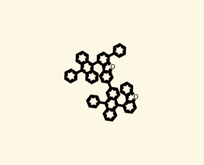 c1ccc(-c2c3ccccc3c(-c3cccc4oc5ccccc5c34)c3ccc(-c4ccc5c(c4)oc4c(-c6ccccc6)ccc(-c6c7ccccc7c(-c7ccccc7)c7ccccc67)c45)cc23)cc1